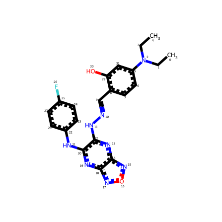 CCN(CC)c1ccc(/C=N/Nc2nc3nonc3nc2Nc2ccc(F)cc2)c(O)c1